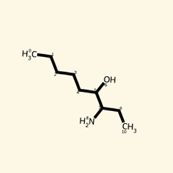 CCCCCC(O)C(N)CC